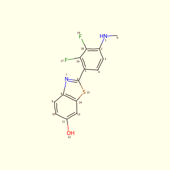 CNc1ccc(-c2nc3ccc(O)cc3s2)c(F)c1F